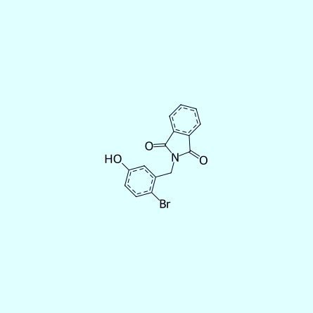 O=C1c2ccccc2C(=O)N1Cc1cc(O)ccc1Br